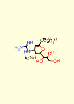 CC(=O)N[C@@H]1[C@@H](NC(=N)N)C=C(C(=O)O)O[C@H]1C(O)C(O)CO.CS(=O)(=O)O